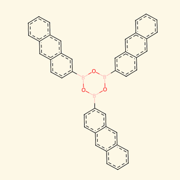 c1ccc2cc3cc(B4OB(c5ccc6cc7ccccc7cc6c5)OB(c5ccc6cc7ccccc7cc6c5)O4)ccc3cc2c1